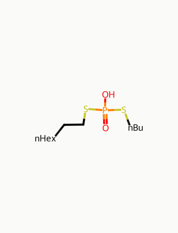 CCCCCCCCSP(=O)(O)SCCCC